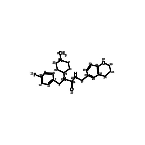 CN1CCC(N(Cc2ccc(F)cc2)C(=O)NCc2ccc3c(c2)CCCO3)CC1